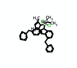 CC1=Cc2c(Cc3ccccc3)cccc2[CH]1[Zr]([Cl])([Cl])([CH]1C(C)=Cc2c(Cc3ccccc3)cccc21)[SiH](C)C